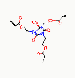 C=CC(=O)OCCn1c(=O)n(CCOC(=O)C=C)c(=O)n(CCOC(=O)CC)c1=O